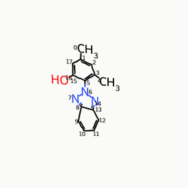 Cc1cc(C)c(-n2nc3ccccc3n2)c(O)c1